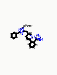 CCCCCn1nc(-c2ccccc2)nc1Cc1ccc(-c2ccccc2-c2nnn[nH]2)nc1